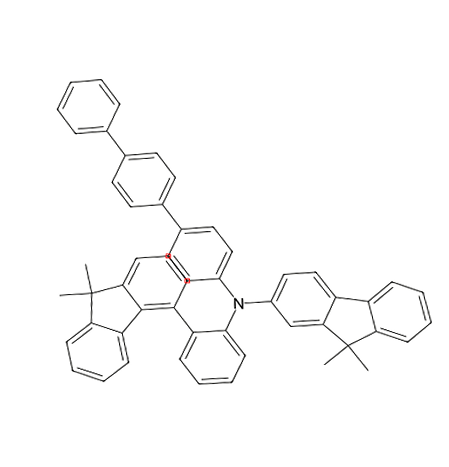 CC1(C)c2ccccc2-c2ccc(N(c3ccc(-c4ccc(-c5ccccc5)cc4)cc3)c3ccccc3-c3cccc4c3-c3ccccc3C4(C)C)cc21